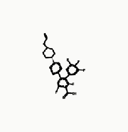 C=CC[C@H]1CC[C@H](c2ccc(-c3cc(F)c(C(=O)O)c(F)c3-c3cc(F)c(F)c(F)c3)cc2)CC1